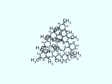 Cc1cc(C)c(N(c2cc(C)c(-c3cccc4c3C=Cc3c(-c5cc(C)c(N(c6c(C)cc(C)cc6C)c6c(C)cc(C)cc6C)cc5C)cccc3[Si]4(C)C)cc2C)c2c(C)cc(C)cc2C)c(C)c1